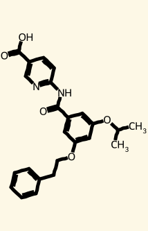 CC(C)Oc1cc(OCCc2ccccc2)cc(C(=O)Nc2ccc(C(=O)O)cn2)c1